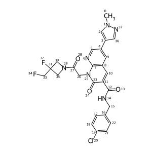 Cn1cc(-c2cnc3c(c2)cc(C(=O)NCc2ccc(Cl)cc2)c(=O)n3CC(=O)N2CC(F)(CF)C2)cn1